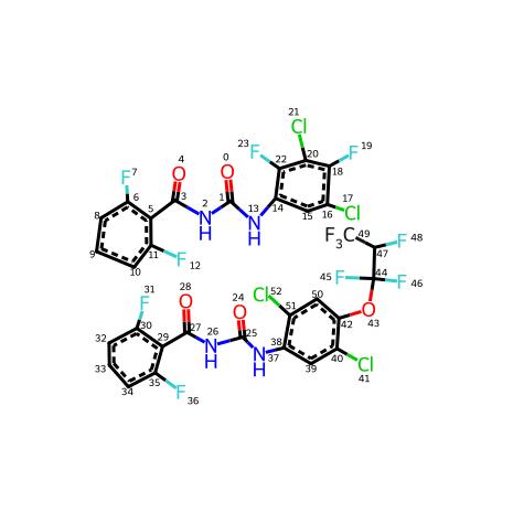 O=C(NC(=O)c1c(F)cccc1F)Nc1cc(Cl)c(F)c(Cl)c1F.O=C(NC(=O)c1c(F)cccc1F)Nc1cc(Cl)c(OC(F)(F)C(F)C(F)(F)F)cc1Cl